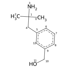 CC(C)(N)Cc1cccc(CO)c1